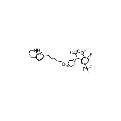 COc1c(F)cc(C(C)(F)F)cc1C(C(=O)O)N1CC[C@@H](OCCCCCc2ccc3c(n2)NCCC3)C1